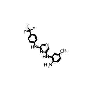 Cc1ccc(N)c(Nc2cncc(Nc3ccc(C(F)(F)F)cc3)n2)c1